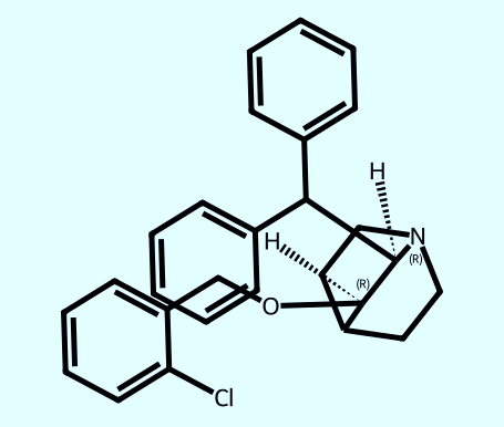 Clc1ccccc1CO[C@@H]1C2CCN(CC2)[C@@H]1C(c1ccccc1)c1ccccc1